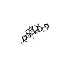 C[C@]12CC[C@H](n3cccn3)C[C@H]1CC[C@@H]1[C@@H]2CC[C@]2(C)[C@@H](c3ccc(=O)oc3)CC[C@]12O